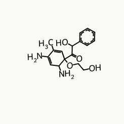 CC1=CC(OCCO)(C(=O)C(O)c2ccccc2)C(N)C=C1N